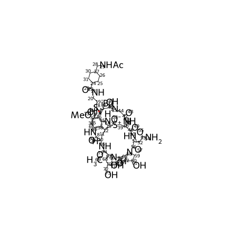 CC[C@H](C)[C@@H]1NC(=O)CCNC(=O)[C@@H]2Cc3c([nH]c4c(CSCCNC(=O)C5CCC(CNC(C)=O)CC5)c(OC)ccc34)[S+]([O-])C[C@H](NC(=O)CNC1=O)C(=O)N[C@@H](CC(N)=O)C(=O)N1C[C@H](O)C[C@H]1C(=O)N[C@@H]([C@@H](C)[C@@H](O)CO)C(=O)N2